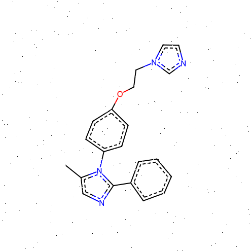 Cc1cnc(-c2ccccc2)n1-c1ccc(OCCn2ccnc2)cc1